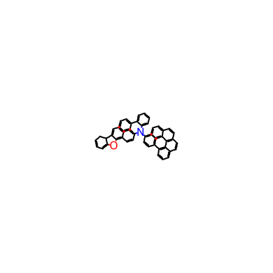 C1=CCC2C(=C1)Oc1c2ccc2cc(N(c3ccc(-c4cccc5ccc6ccc7ccccc7c6c45)cc3)c3ccccc3-c3ccccc3)ccc12